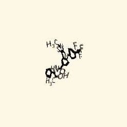 Cc1nc2c(s1)c1cc(C(=O)N[C@H](c3ccccc3)[C@H](C)O)ccc1n2-c1ccc(C(F)(F)F)cc1